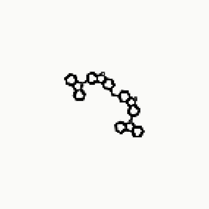 c1ccc2c(c1)c1ccccc1n2-c1ccc2oc3ccc(Cc4ccc5oc6ccc(-n7c8ccccc8c8ccccc87)cc6c5c4)cc3c2c1